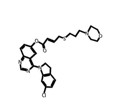 O=C(C=CCSCCCN1CCOCC1)Oc1ccc2ncnc(N3CCc4ccc(Cl)cc43)c2c1